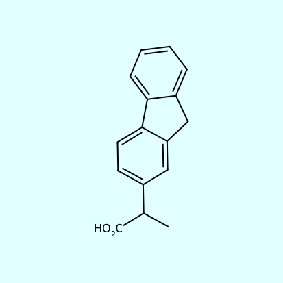 CC(C(=O)O)c1ccc2c(c1)Cc1ccccc1-2